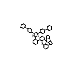 c1ccc(-c2ccc(-c3cc(-c4ccc(-c5ccccc5)cc4)nc(-c4ccccc4-c4cccc5c4Sc4ccccc4C54c5ccccc5-c5ccccc54)n3)cc2)cc1